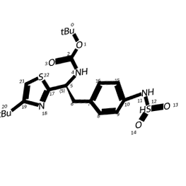 CC(C)(C)OC(=O)N[C@@H](Cc1ccc(N[SH](=O)=O)cc1)c1nc(C(C)(C)C)cs1